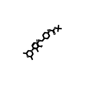 Cc1c(N2CC(C)OC(C)C2)ccc(NCC2CCC(NC(=O)OC(C)(C)C)CC2)c1F